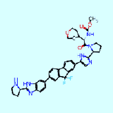 COC(=O)N[C@H](C(=O)N1CCCC1c1ncc(-c2ccc3c(c2)C(F)(F)c2cc(-c4ccc5nc(C6CCCN6)[nH]c5c4)ccc2-3)[nH]1)C1CCOCC1